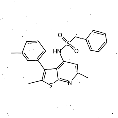 Cc1cccc(-c2c(C)sc3nc(C)cc(NS(=O)(=O)Cc4ccccc4)c23)c1